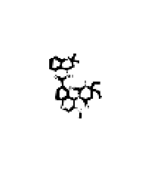 CCC1(CC)CC(=O)N(C2c3cc(C(=O)N[C@H]4CC(C)(C)Oc5ccccc54)ccc3OC[C@H]2OC)C(=N)N1